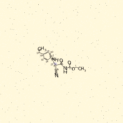 CCOC(=O)NC(=O)/C(C#N)=C\Nc1ccc(CC)cc1